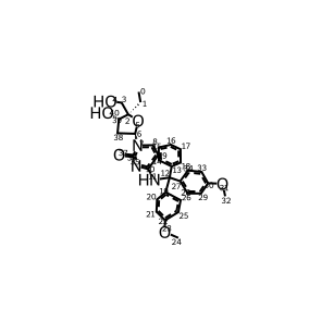 CC[C@]1(CO)O[C@@H](n2ccc(NC(c3ccccc3)(c3ccc(OC)cc3)c3ccc(OC)cc3)nc2=O)C[C@@H]1O